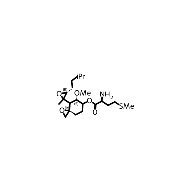 CO[C@@H]1C(OC(=O)C(N)CCSC)CC[C@]2(CO2)C1C1(C)O[C@@H]1CCC(C)C